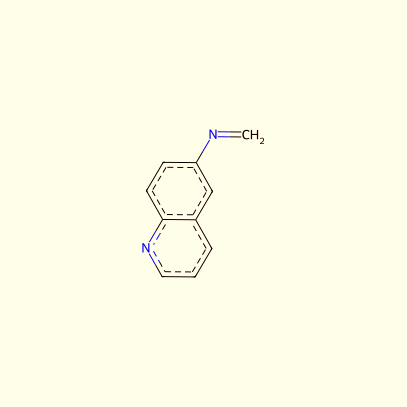 C=Nc1ccc2ncccc2c1